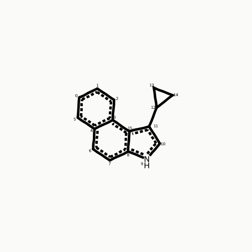 c1ccc2c(c1)ccc1[nH]cc(C3CC3)c12